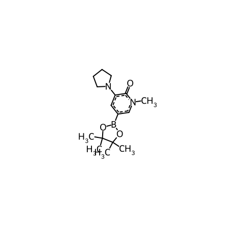 Cn1cc(B2OC(C)(C)C(C)(C)O2)cc(N2CCCC2)c1=O